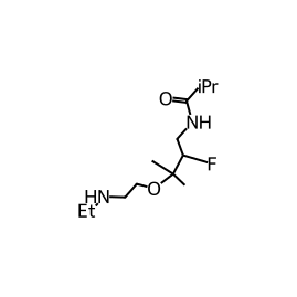 CCNCCOC(C)(C)C(F)CNC(=O)C(C)C